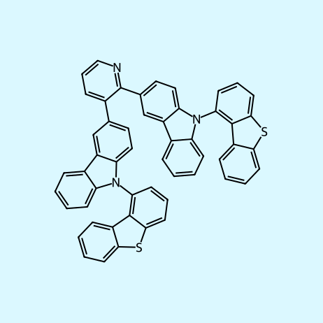 c1cnc(-c2ccc3c(c2)c2ccccc2n3-c2cccc3sc4ccccc4c23)c(-c2ccc3c(c2)c2ccccc2n3-c2cccc3sc4ccccc4c23)c1